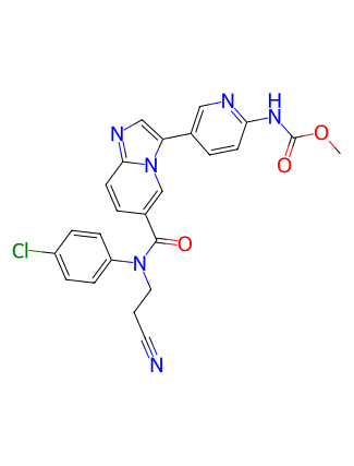 COC(=O)Nc1ccc(-c2cnc3ccc(C(=O)N(CCC#N)c4ccc(Cl)cc4)cn23)cn1